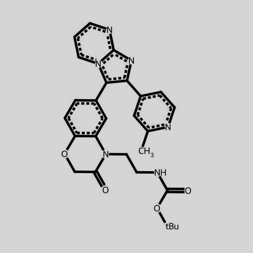 Cc1cc(-c2nc3ncccn3c2-c2ccc3c(c2)N(CCNC(=O)OC(C)(C)C)C(=O)CO3)ccn1